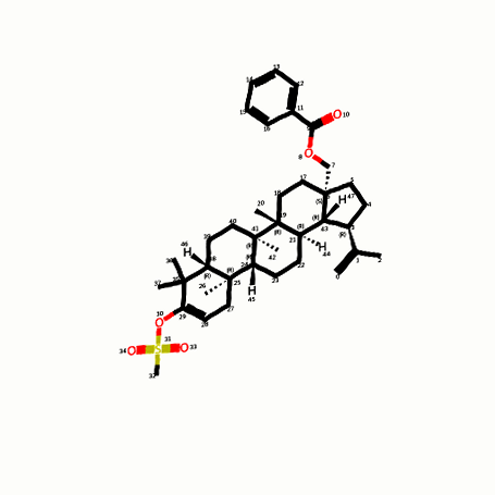 C=C(C)[C@@H]1CC[C@]2(COC(=O)c3ccccc3)CC[C@]3(C)[C@H](CC[C@@H]4[C@@]5(C)CC=C(OS(C)(=O)=O)C(C)(C)[C@@H]5CC[C@]43C)[C@@H]12